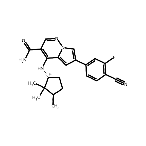 CC1CC[C@@H](Nc2c(C(N)=O)cnn3cc(-c4ccc(C#N)c(F)c4)cc23)C1(C)C